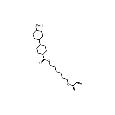 C=CC(=C)OCCCCCCOC(=O)C1CCC(C2CCC(CCCCC)CC2)CC1